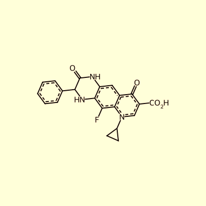 O=C(O)c1cn(C2CC2)c2c(F)c3c(cc2c1=O)NC(=O)C(c1ccccc1)N3